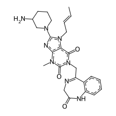 C/C=C/Cn1c(N2CCCC(N)C2)nc2c1c(=O)n(CC1=NCC(=O)Nc3ccccc31)c(=O)n2C